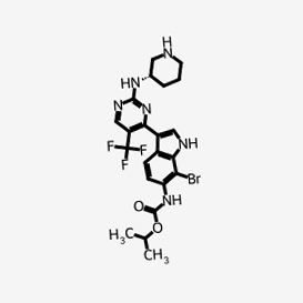 CC(C)OC(=O)Nc1ccc2c(-c3nc(N[C@H]4CCCNC4)ncc3C(F)(F)F)c[nH]c2c1Br